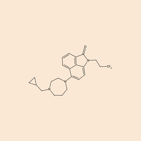 O=C1c2cccc3c(N4CCCN(CC5CC5)CC4)ccc(c23)N1CCC(F)(F)F